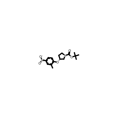 Cc1cc([N+](=O)[O-])ccc1O[C@@H]1CCN(C(=O)OC(C)(C)C)C1